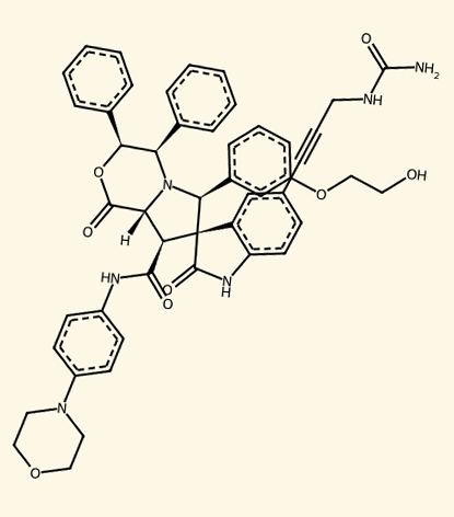 NC(=O)NCC#Cc1ccc2c(c1)[C@]1(C(=O)N2)[C@H](c2cccc(OCCO)c2)N2[C@H](c3ccccc3)[C@H](c3ccccc3)OC(=O)[C@H]2[C@@H]1C(=O)Nc1ccc(N2CCOCC2)cc1